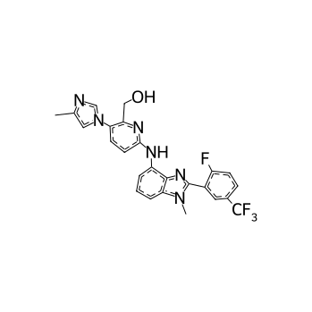 Cc1cn(-c2ccc(Nc3cccc4c3nc(-c3cc(C(F)(F)F)ccc3F)n4C)nc2CO)cn1